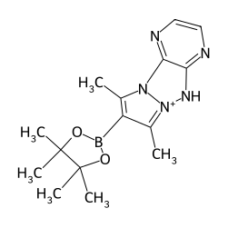 Cc1c(B2OC(C)(C)C(C)(C)O2)c(C)[n+]2[nH]c3nccnc3n12